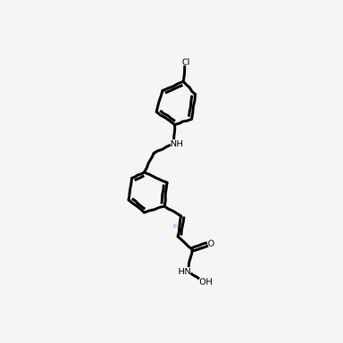 O=C(/C=C/c1cccc(CNc2ccc(Cl)cc2)c1)NO